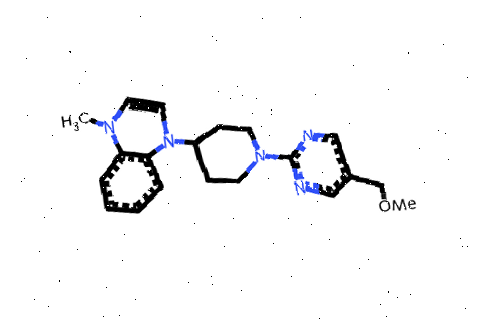 COCc1cnc(N2CCC(N3C=CN(C)c4ccccc43)CC2)nc1